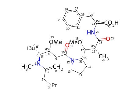 C=C(CC(C)C)N(C)[C@@H]([C@@H](C)CC)[C@@H](CC(=O)N1CCC[C@H]1C(OC)[C@@H](C)C(=O)N[C@@H](Cc1ccccc1)C(=O)O)OC